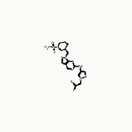 CS(=O)(=O)N1CCCC(Cn2ncc3cnc(Nc4cnn(CC(F)F)c4)nc32)C1